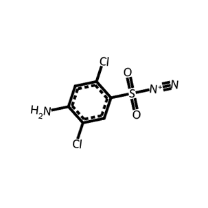 N#[N+]S(=O)(=O)c1cc(Cl)c(N)cc1Cl